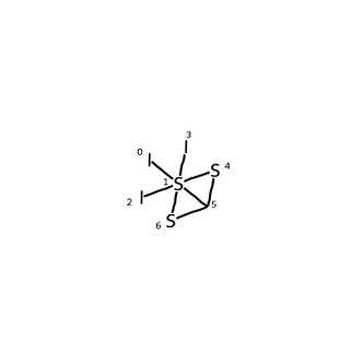 IS12(I)(I)SC1S2